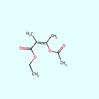 CCOC(=O)C(C)=C(C)OC(C)=O